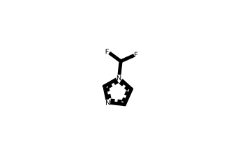 FC(F)n1[c]ncc1